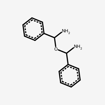 NC(OC(N)c1ccccc1)c1ccccc1